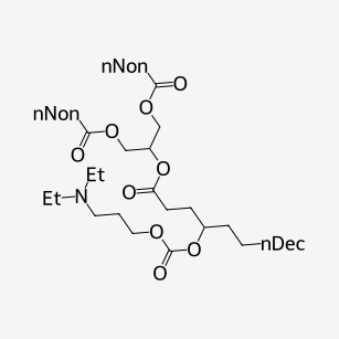 CCCCCCCCCCCCC(CCC(=O)OC(COC(=O)CCCCCCCCC)COC(=O)CCCCCCCCC)OC(=O)OCCCN(CC)CC